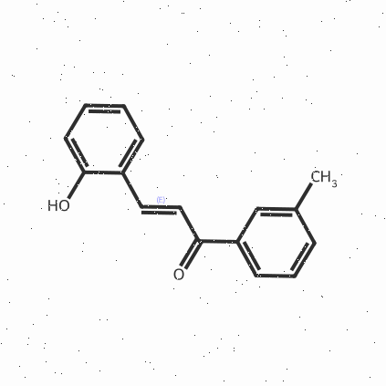 Cc1cccc(C(=O)/C=C/c2ccccc2O)c1